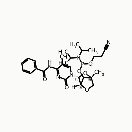 Cc1cn([C@@H]2O[C@]3(C)CO[C@H]2C3OP(OCCC#N)N(C(C)C)C(C)C)c(=O)nc1NC(=O)c1ccccc1